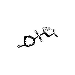 CCOC(=O)C(=CN(C)C)S(=O)(=O)c1ccc(Cl)cc1